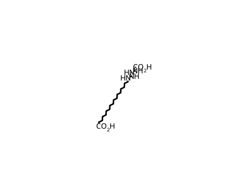 O=C(O)CCCCCCCCCCCCCCCCNNNNC(=O)O